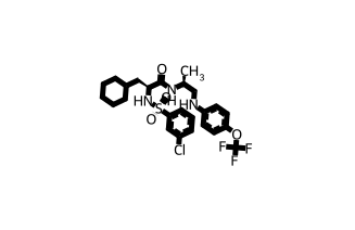 C[C@@H](CNc1ccc(OC(F)(F)F)cc1)NC(=O)[C@H](CC1CCCCC1)NS(=O)(=O)c1cccc(Cl)c1